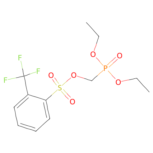 CCOP(=O)(COS(=O)(=O)c1ccccc1C(F)(F)F)OCC